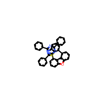 c1ccc(-c2nc(-c3ccccc3)nc(-c3cccc4oc5cccc(-c6cccc7nc(-c8ccccc8)sc67)c5c34)n2)cc1